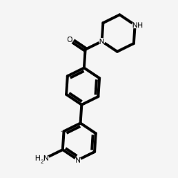 Nc1[c]c(-c2ccc(C(=O)N3CCNCC3)cc2)ccn1